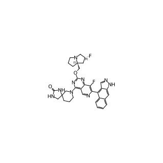 O=C1NCC2(CCCN(c3nc(OC[C@@]45CCCN4C[C@H](F)C5)nc4c(F)c(-c5c6ccccc6cc6[nH]ncc56)ncc34)C2)N1